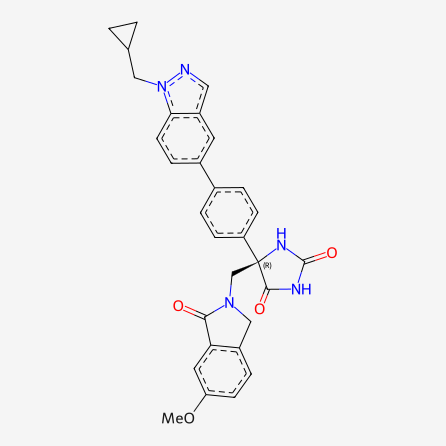 COc1ccc2c(c1)C(=O)N(C[C@@]1(c3ccc(-c4ccc5c(cnn5CC5CC5)c4)cc3)NC(=O)NC1=O)C2